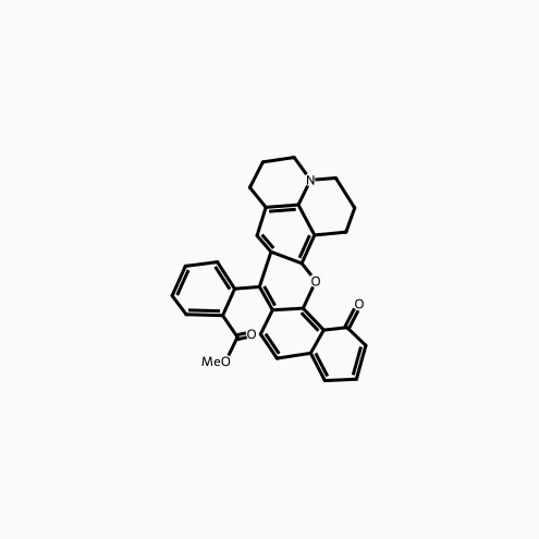 COC(=O)c1ccccc1-c1c2cc3c4c(c2oc2c1ccc1cccc(=O)c12)CCCN4CCC3